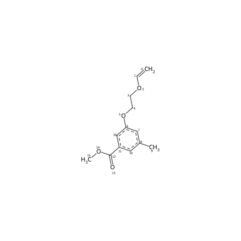 C=COCCOc1cc(C)cc(C(=O)OC)c1